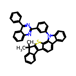 CC1(C)c2ccccc2-c2c1sc1c2ccc2c3ccccc3n(-c3cccc(-c4nc(-c5ccccc5)c5ccccc5n4)c3)c21